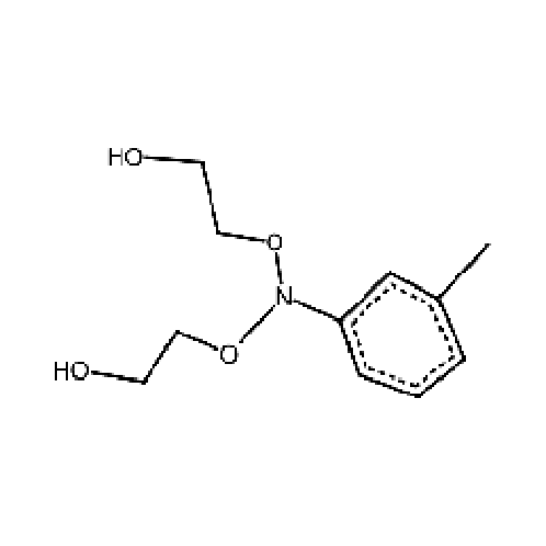 Cc1cccc(N(OCCO)OCCO)c1